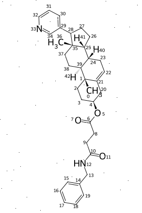 C[C@]12CC[C@H](OC(=O)CCC(=O)NCc3ccccc3)CC1=CC[C@H]1[C@H]3CCC(c4cccnc4)[C@@]3(C)CC[C@@H]12